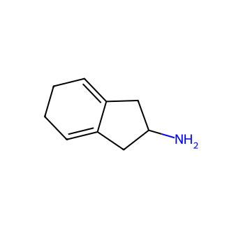 NC1CC2=CCCC=C2C1